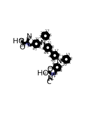 [C-]#[N+]/C(=C/c1ccc(N(c2ccccc2)c2ccc(-c3ccc(N(c4ccccc4)c4ccc(/C=C(\C#N)C(=O)O)cc4)cc3)cc2)cc1)C(=O)O